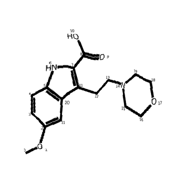 COc1ccc2[nH]c(C(=O)O)c(CCN3CCOCC3)c2c1